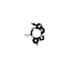 C[C@H]1CCNc2c(C#N)cnc3ccc(nc23)N2CCC[C@@H]2c2cc(F)ccc2O1